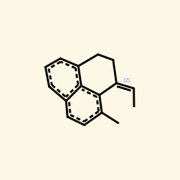 C/C=C1/CCc2cccc3ccc(C)c1c23